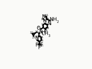 CN(C(=O)c1cc2c(cc1F)nc(N)c1cncn12)[C@H](CC1CC1)c1ccc(C(F)(F)F)cn1